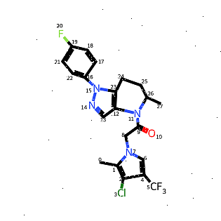 Cc1c(Cl)c(C(F)(F)F)cn1CC(=O)N1c2cnn(-c3ccc(F)cc3)c2CCC1C